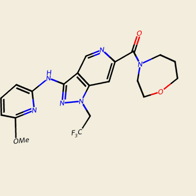 COc1cccc(Nc2nn(CC(F)(F)F)c3cc(C(=O)N4CCCOCC4)ncc23)n1